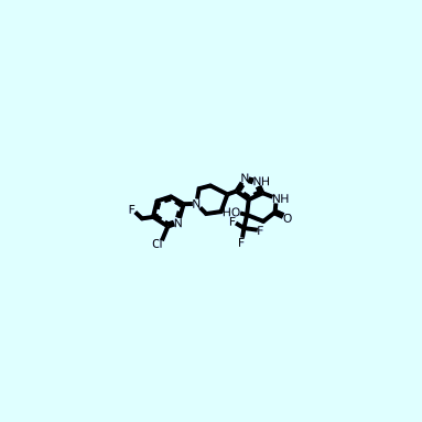 O=C1CC(O)(C(F)(F)F)c2c(C3CCN(c4ccc(CF)c(Cl)n4)CC3)n[nH]c2N1